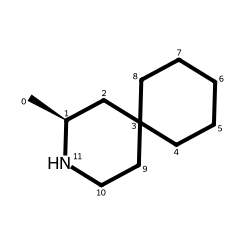 C[C@H]1CC2(CCCCC2)CCN1